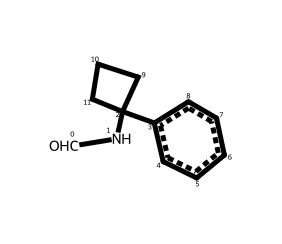 O=CNC1(c2ccccc2)CCC1